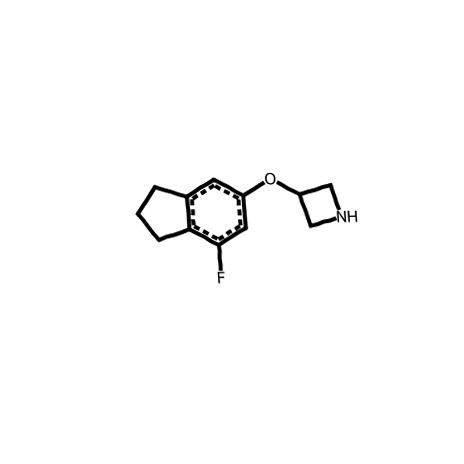 Fc1cc(OC2CNC2)cc2c1CCC2